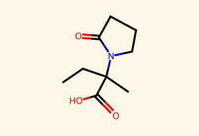 CCC(C)(C(=O)O)N1CCCC1=O